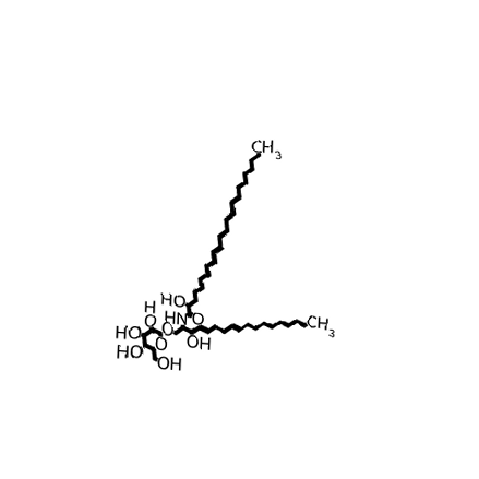 CCCCCCCCC/C=C/CC/C=C/C(O)C(CO[C@@H]1OC(CO)[C@@H](O)C(O)C1O)NC(=O)C(O)CCCCCCCCCCCCCCCCCCCCCC